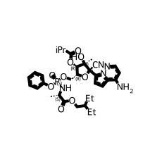 CCC(CC)COC(=O)[C@H](C)N[P@](=O)(OC[C@H]1O[C@@](C#N)(c2ccc3c(N)ccnn23)[C@](C)(O)[C@@H]1OC(=O)C(C)C)Oc1ccccc1